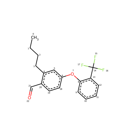 CCCCc1cc(Oc2ccccc2C(F)(F)F)ccc1C=O